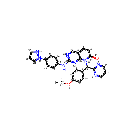 COc1ccc(C(c2ncccn2)n2c(=O)ccc3cnc(Nc4ccc(-n5cccn5)cc4)nc32)cc1